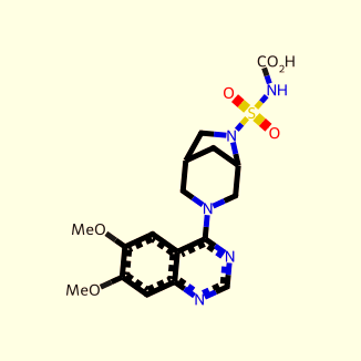 COc1cc2ncnc(N3CC4CC(C3)N(S(=O)(=O)NC(=O)O)C4)c2cc1OC